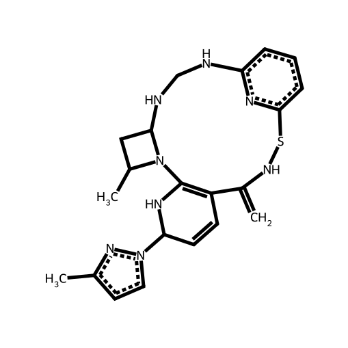 C=C1NSc2cccc(n2)NCNC2CC(C)N2C2=C1C=CC(n1ccc(C)n1)N2